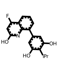 CC(C)c1c(O)cc(-c2cccc3c(F)cc(O)nc23)cc1O